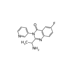 CC(N)c1nc2ccc(F)cc2c(=O)n1-c1cccnc1